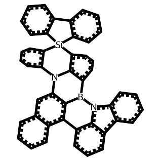 c1ccc2c(c1)-c1ccccc1[Si]21c2ccccc2N2c3cc4ccccc4c4c3B(c3cccc1c32)n1c2ccccc2c2cccc-4c21